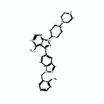 Cc1ccccc1Cn1ncc2cc(-c3nn(C4CCC(N5CCOCC5)CC4)c4ncnc(N)c34)ccc21